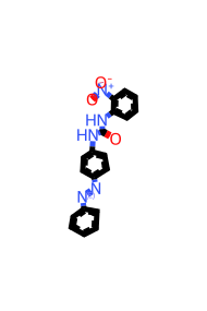 O=C(Nc1ccc(/N=N/c2ccccc2)cc1)Nc1ccccc1[N+](=O)[O-]